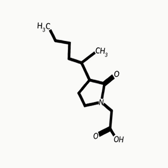 CCCCC(C)C1CCN(CC(=O)O)C1=O